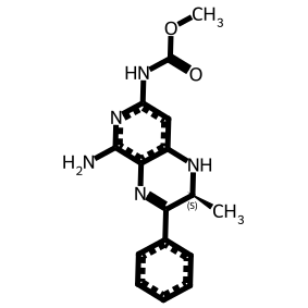 COC(=O)Nc1cc2c(c(N)n1)N=C(c1ccccc1)[C@H](C)N2